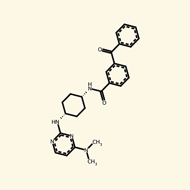 CN(C)c1ccnc(N[C@H]2CC[C@@H](NC(=O)c3cccc(C(=O)c4ccccc4)c3)CC2)n1